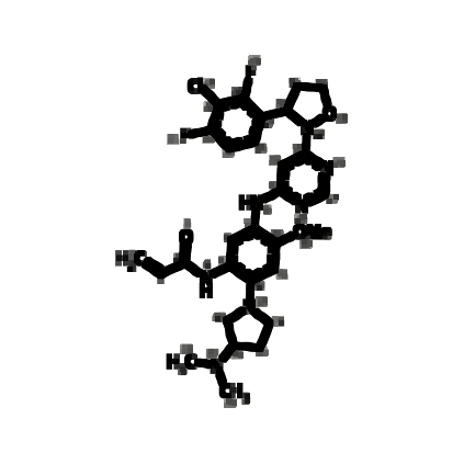 C=CC(=O)Nc1cc(Nc2cc(N3OCCC3c3ccc(F)c(Cl)c3F)ncn2)c(OC)cc1N1CCC(N(C)C)C1